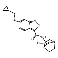 O=C(N[C@H]1CN2CCC1CC2)c1snc2cc(OCC3CC3)ccc12